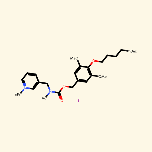 CCCCCCCCCCCCCCOc1c(OC)cc(COC(=O)N(Cc2ccc[n+](CCC)c2)C(C)=O)cc1OC.[I-]